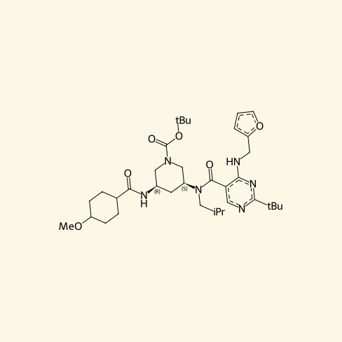 COC1CCC(C(=O)N[C@@H]2C[C@H](N(CC(C)C)C(=O)c3cnc(C(C)(C)C)nc3NCc3ccco3)CN(C(=O)OC(C)(C)C)C2)CC1